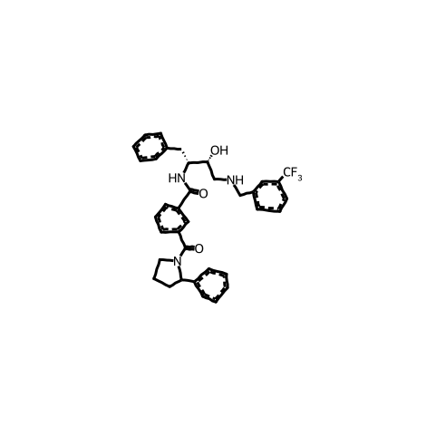 O=C(N[C@H](Cc1ccccc1)[C@H](O)CNCc1cccc(C(F)(F)F)c1)c1cccc(C(=O)N2CCCC2c2ccccc2)c1